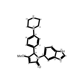 COC1=CC(=O)N(c2ccc3[nH]cnc3c2)C1c1ccc(N2CCSCC2)cc1